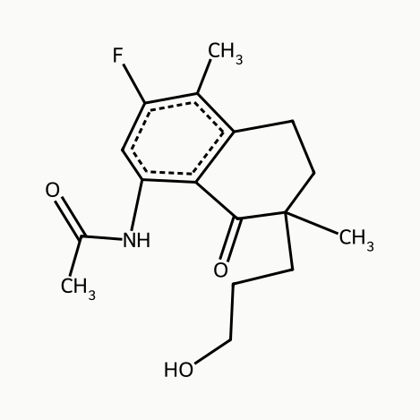 CC(=O)Nc1cc(F)c(C)c2c1C(=O)C(C)(CCCO)CC2